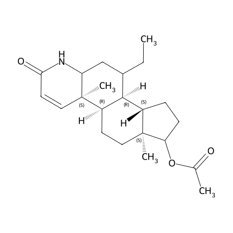 CCC1CC2NC(=O)C=C[C@]2(C)[C@@H]2CC[C@]3(C)C(OC(C)=O)CC[C@H]3[C@H]12